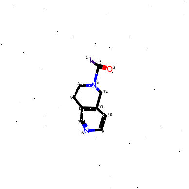 O=C(I)N1CCc2cnccc2C1